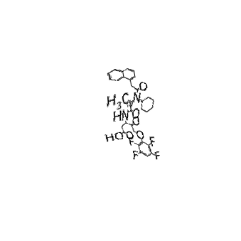 C[C@@H](C(=O)NC(CC(=O)O)C(=O)COc1c(F)c(F)cc(F)c1F)N(C(=O)Cc1cccc2ccccc12)C1CCCCC1